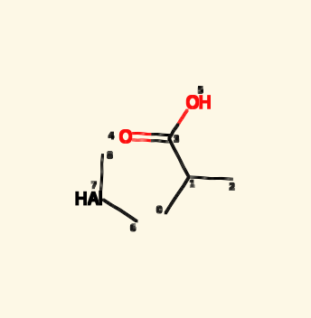 CC(C)C(=O)O.[CH3][AlH][CH3]